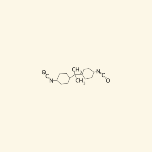 CC(C)(C1CCC(N=C=O)CC1)C1CCC(N=C=O)CC1